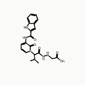 CC(C)C(C(=O)NNCC(=O)O)n1cccc(NC(=O)c2cc3ccccc3[nH]2)c1=O